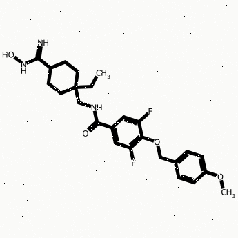 CCC1(CNC(=O)c2cc(F)c(OCc3ccc(OC)cc3)c(F)c2)CCC(C(=N)NO)CC1